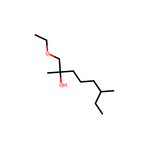 CCOCC(C)(O)CCCC(C)CC